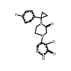 O=C1CN(c2cn[nH]c(=O)c2Cl)CCN1C1(c2ccc(F)cc2)CC1